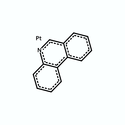 [Pt].c1ccc2c(c1)cnc1ccccc12